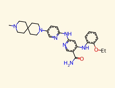 CCOc1ccccc1Nc1cc(Nc2ccc(N3CCC4(CCN(C)CC4)CC3)cn2)ncc1C(N)=O